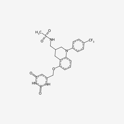 CS(=O)(=O)NCC1Cc2c(OCc3cc(=O)[nH]c(=O)[nH]3)cccc2N(c2ccc(C(F)(F)F)cc2)C1